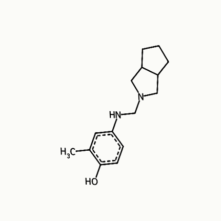 Cc1cc(NCN2CC3CCCC3C2)ccc1O